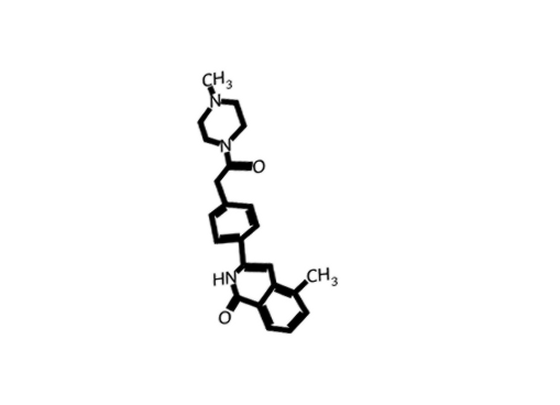 Cc1cccc2c(=O)[nH]c(-c3ccc(CC(=O)N4CCN(C)CC4)cc3)cc12